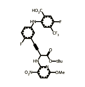 COc1ccc([N+](=O)[O-])c(NC(C#Cc2cc(Nc3cc(C(F)(F)F)c(F)cc3C(=O)O)ccc2F)C(=O)OC(C)(C)C)n1